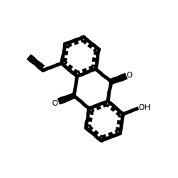 C=Cc1cccc2c1C(=O)c1cccc(O)c1C2=O